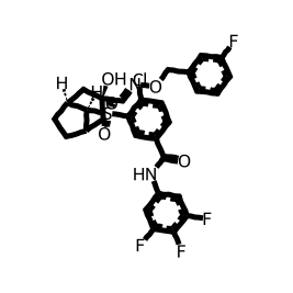 O=C(Nc1cc(F)c(F)c(F)c1)c1ccc(Cl)c(S(=O)(=O)[C@H]2C3CC[C@H]2C[C@](O)(/C=N/OCc2cccc(F)c2)C3)c1